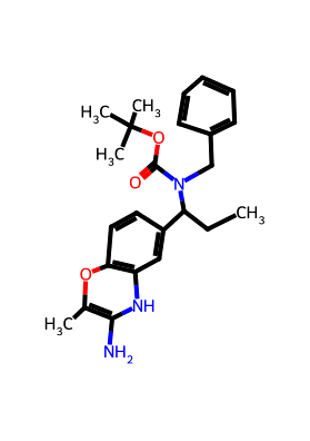 CCC(c1ccc2c(c1)NC(N)=C(C)O2)N(Cc1ccccc1)C(=O)OC(C)(C)C